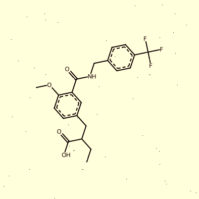 CCC(Cc1ccc(OC)c(C(=O)NCc2ccc(C(F)(F)F)cc2)c1)C(=O)O